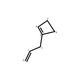 C=CCC1=[C]CC1